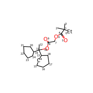 CCC(C)(C)C(=O)OCC(=O)OC(C)(C1CCCCC1)C1CCCCC1